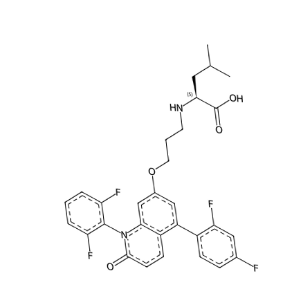 CC(C)C[C@H](NCCCOc1cc(-c2ccc(F)cc2F)c2ccc(=O)n(-c3c(F)cccc3F)c2c1)C(=O)O